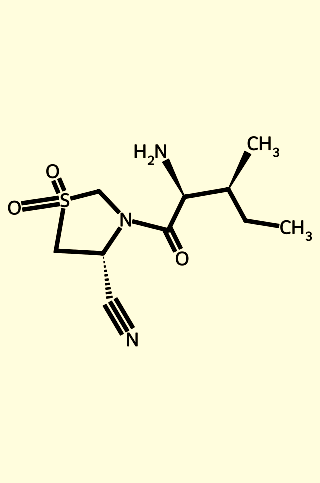 CC[C@H](C)[C@H](N)C(=O)N1CS(=O)(=O)C[C@H]1C#N